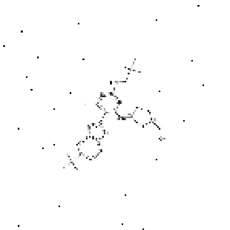 Cc1nc(NCC(C)(C)C)nc(N[C@H]2CC[C@@H](CO)C2)c1-c1cc2cc(C(C)(C)C)ncc2o1